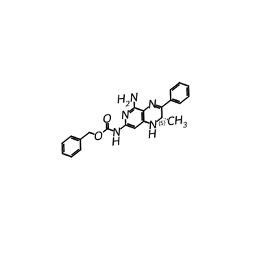 C[C@@H]1Nc2cc(NC(=O)OCc3ccccc3)nc(N)c2N=C1c1ccccc1